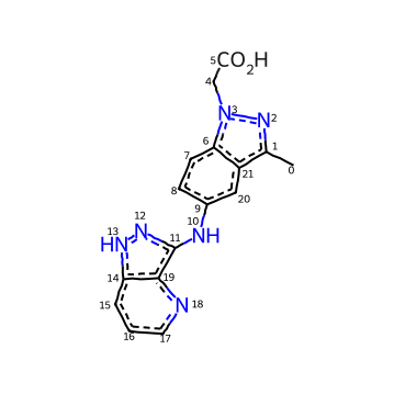 Cc1nn(CC(=O)O)c2ccc(Nc3n[nH]c4cccnc34)cc12